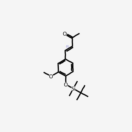 COc1cc(/C=C/C(C)=O)ccc1O[Si](C)(C)C(C)(C)C